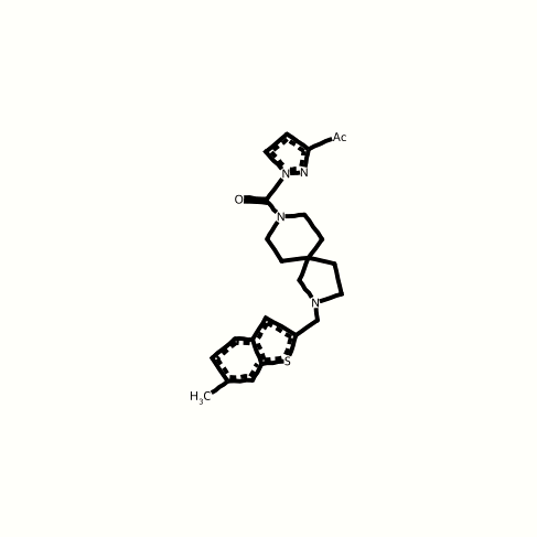 CC(=O)c1ccn(C(=O)N2CCC3(CCN(Cc4cc5ccc(C)cc5s4)C3)CC2)n1